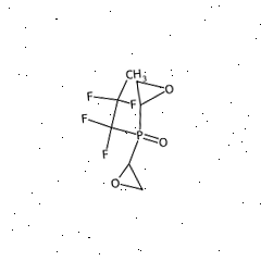 CC(F)(F)C(F)(F)P(=O)(C1CO1)C1CO1